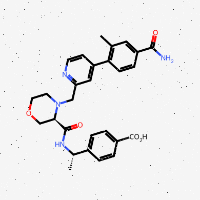 Cc1cc(C(N)=O)ccc1-c1ccnc(CN2CCOC[C@@H]2C(=O)N[C@@H](C)c2ccc(C(=O)O)cc2)c1